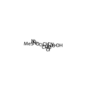 CSc1nccc(COc2ccc(C(C)(C)c3cc(Cl)c(OCCOCCO)c(C#N)c3)cc2)n1